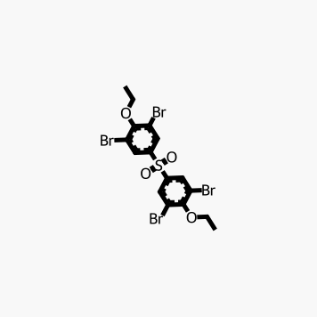 CCOc1c(Br)cc(S(=O)(=O)c2cc(Br)c(OCC)c(Br)c2)cc1Br